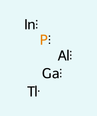 [Al].[Ga].[In].[P].[Tl]